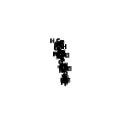 CS(=O)(=O)NC(=O)c1cc(Cl)c(COc2cnc(OCC(F)(F)C(F)(F)F)c(Cl)c2)cc1F